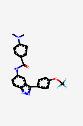 CN(C)c1ccc(C(=O)Nc2ccc3[nH]nc(-c4ccc(OC(F)(F)F)cc4)c3c2)cc1